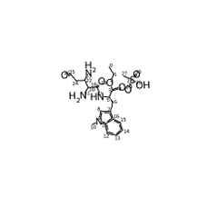 CCOC(=O)[C@@H](Cc1cn(C)c2ccccc12)NC(=O)C(N)C(N)CC=O.CS(=O)(=O)O